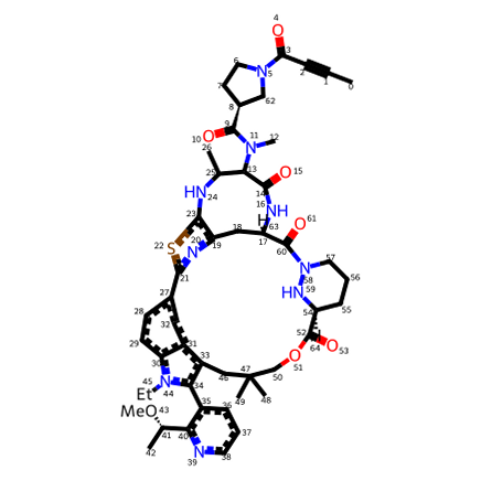 CC#CC(=O)N1CC[C@H](C(=O)N(C)C2C(=O)N[C@H]3Cc4nc(sc4NC2C)-c2ccc4c(c2)c(c(-c2cccnc2[C@H](C)OC)n4CC)CC(C)(C)COC(=O)[C@@H]2CCCN(N2)C3=O)C1